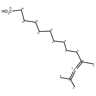 CC(C)=C=C(C)CCCCCCCCCC(=O)O